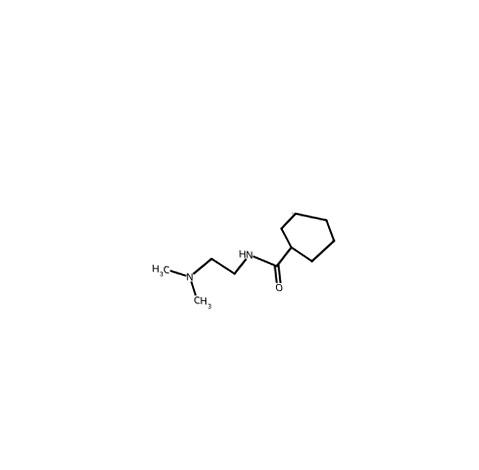 CN(C)CCNC(=O)C1C[CH]CCC1